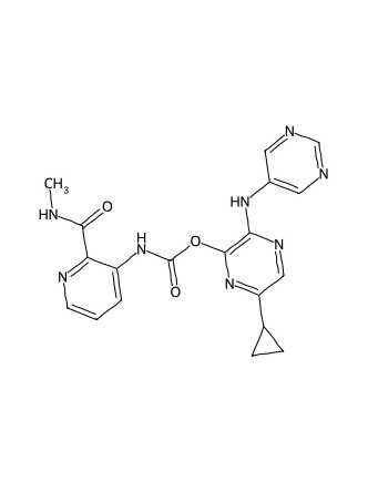 CNC(=O)c1ncccc1NC(=O)Oc1nc(C2CC2)cnc1Nc1cncnc1